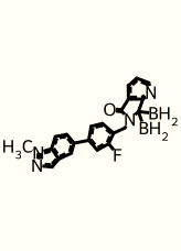 BC1(B)c2ncccc2C(=O)N1Cc1ccc(-c2ccc3c(cnn3C)c2)cc1F